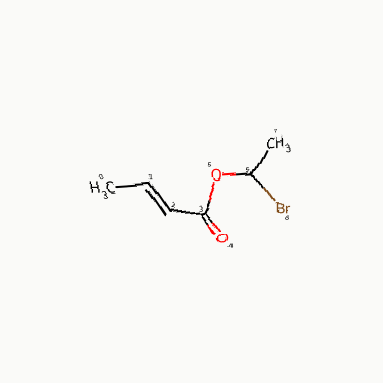 CC=CC(=O)OC(C)Br